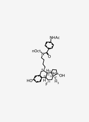 CCCCCCCCN(CCCC[C@@H]1Cc2cc(O)ccc2[C@@H]2[C@@H]1[C@@H]1CC[C@H](O)[C@@]1(C)C[C@@H]2F)C(=O)c1ccc(NC(C)=O)cc1